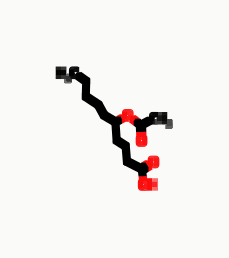 CCCCCC(CCCC(=O)O)OC(C)=O